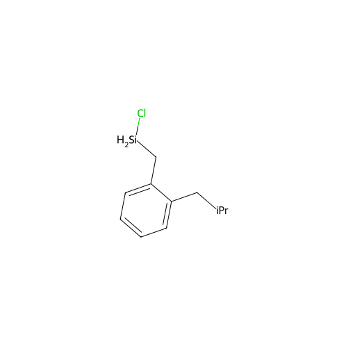 CC(C)Cc1ccccc1C[SiH2]Cl